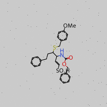 COc1ccc(CSC(CCc2ccccc2)C(C=CS(=O)(=O)O)NC(=O)OCc2ccccc2)cc1